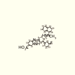 C[C@@H](NCC1CCN(c2nc3ccc(C(=O)O)cc3[nH]2)CC1c1cccc(F)c1)c1cccc2ccccc12